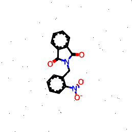 O=C1c2ccccc2C(=O)N1Cc1ccccc1[N+](=O)[O-]